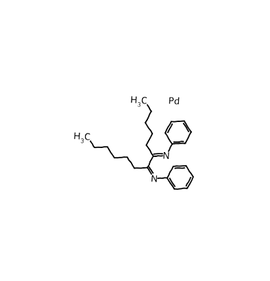 CCCCCCC(=Nc1ccccc1)C(CCCCC)=Nc1ccccc1.[Pd]